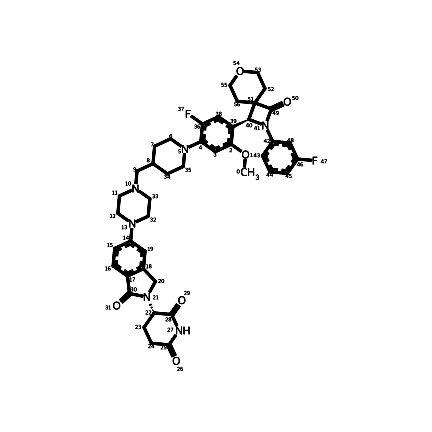 COc1cc(N2CCC(CN3CCN(c4ccc5c(c4)CN([C@H]4CCC(=O)NC4=O)C5=O)CC3)CC2)c(F)cc1[C@@H]1N(c2cccc(F)c2)C(=O)C12CCOCC2